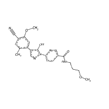 COCCCNC(=O)c1ccc(-n2ncc(-c3cc(OC)c(C#N)cc3C)c2O)nc1